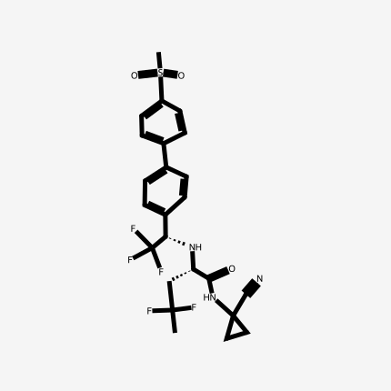 CC(F)(F)C[C@H](N[C@@H](c1ccc(-c2ccc(S(C)(=O)=O)cc2)cc1)C(F)(F)F)C(=O)NC1(C#N)CC1